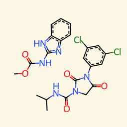 CC(C)NC(=O)N1CC(=O)N(c2cc(Cl)cc(Cl)c2)C1=O.COC(=O)Nc1nc2ccccc2[nH]1